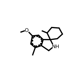 COc1cc(C)c2c(c1)C1(CCCCC1C)NC2